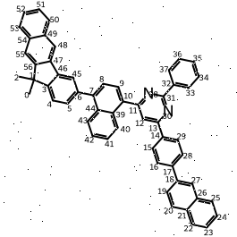 CC1(C)c2ccc(-c3ccc(-c4cc(-c5ccc(-c6ccc7ccccc7c6)cc5)nc(-c5ccccc5)n4)c4ccccc34)cc2-c2cc3ccccc3cc21